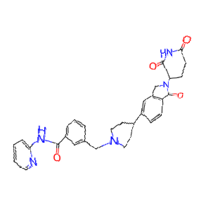 O=C1CCC(N2Cc3cc(C4CCN(Cc5cccc(C(=O)Nc6ccccn6)c5)CC4)ccc3C2=O)C(=O)N1